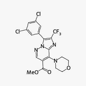 COC(=O)c1cnn2c(-c3cc(Cl)cc(Cl)c3)c(C(F)(F)F)nc2c1N1CCOCC1